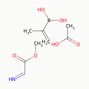 C=C(C)B(O)O.CC(=O)O.COC(=O)C=N